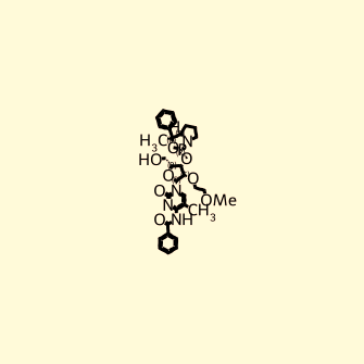 COCCO[C@H]1C(O[P@@]2O[C@](C)(c3ccccc3)[C@@H]3CCCN32)[C@@H](CO)O[C@H]1n1cc(C)c(NC(=O)c2ccccc2)nc1=O